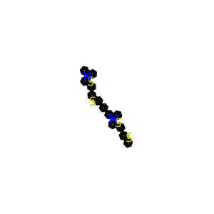 c1ccc2c(c1)sc1cc(-c3ccc4sc5c(-n6c7ccccc7c7cc(-c8ccc(-c9ccc%10c(c9)sc9ccc(-c%11ccc%12sc%13c(-n%14c%15ccccc%15c%15ccccc%15%14)cccc%13c%12c%11)cc9%10)cc8)ccc76)cccc5c4c3)ccc12